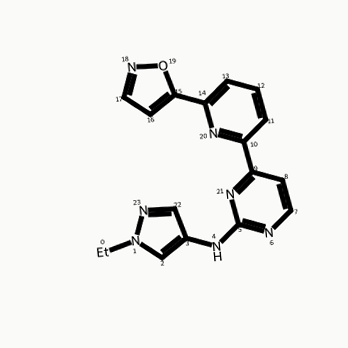 CCn1cc(Nc2nccc(-c3cccc(-c4ccno4)n3)n2)cn1